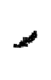 COc1ccc(OC[C@H](O)CN2CCC3(CC2)Cc2cc(Cl)ccc2O3)c(C(C)=O)c1